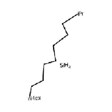 CCCCCCCCCCCCCC(C)C.[SiH4]